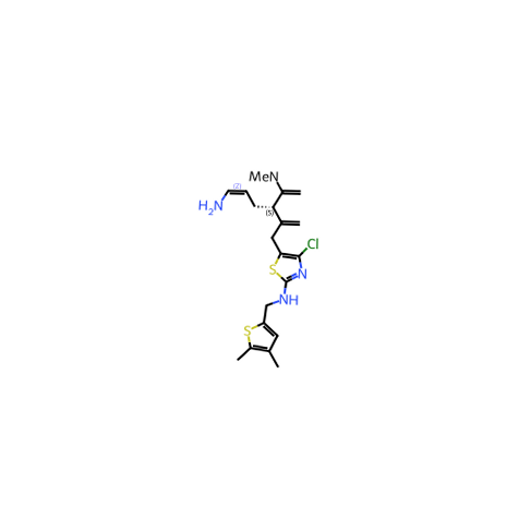 C=C(Cc1sc(NCc2cc(C)c(C)s2)nc1Cl)[C@H](C/C=C\N)C(=C)NC